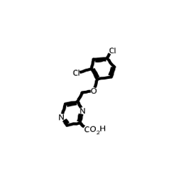 O=C(O)c1cncc(COc2ccc(Cl)cc2Cl)n1